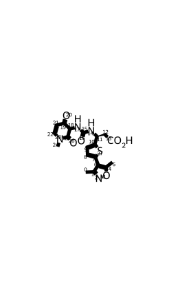 Cc1noc(C)c1-c1ccc([C@H](CC(=O)O)NC(=O)NC2C(=O)C=CN(C)C2=O)s1